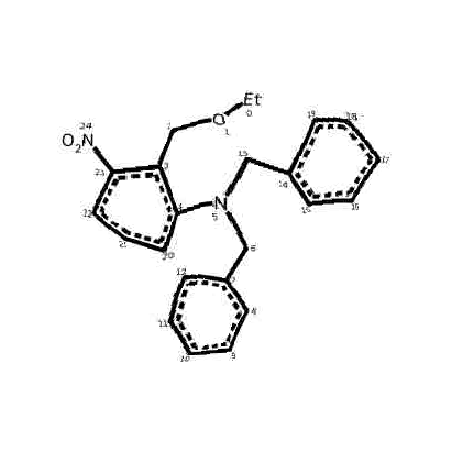 CCOCc1c(N(Cc2ccccc2)Cc2ccccc2)cccc1[N+](=O)[O-]